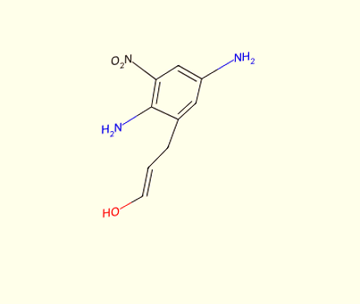 Nc1cc(CC=CO)c(N)c([N+](=O)[O-])c1